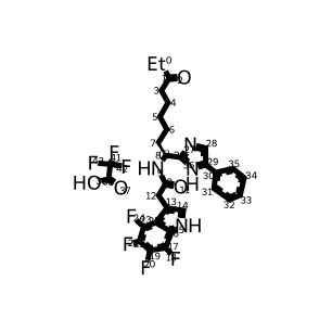 CCC(=O)CCCCC[C@H](NC(=O)Cc1c[nH]c2c(F)c(F)c(F)c(F)c12)c1ncc(-c2ccccc2)[nH]1.O=C(O)C(F)(F)F